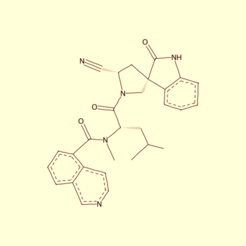 CC(C)C[C@@H](C(=O)N1C[C@]2(C[C@H]1C#N)C(=O)Nc1ccccc12)N(C)C(=O)c1cccc2cnccc12